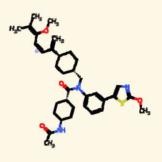 C=C(/C=C\C(OC)=C(C)C)[C@H]1CC[C@H](CN(c2cccc(-c3cnc(OC)s3)c2)C(=O)[C@H]2CC[C@H](NC(C)=O)CC2)CC1